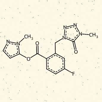 Cn1nccc1OC(=O)c1ccc(F)cc1Cn1nnn(C)c1=O